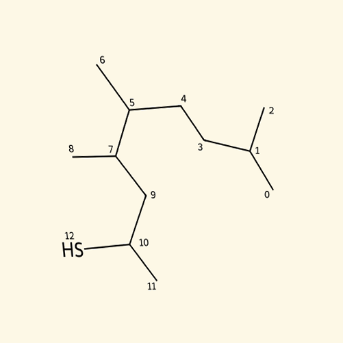 CC(C)CCC(C)C(C)CC(C)S